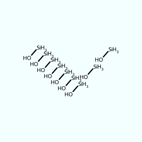 O[SiH3].O[SiH3].O[SiH3].O[SiH3].O[SiH3].O[SiH3].O[SiH3].O[SiH3].O[SiH3]